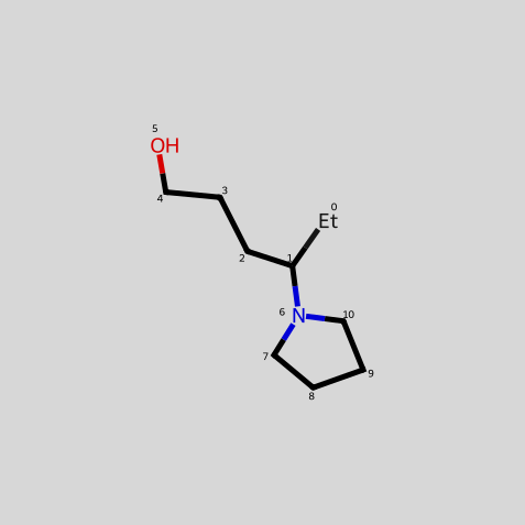 CCC(CCCO)N1CCCC1